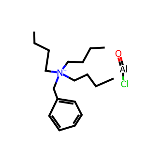 CCCC[N+](CCCC)(CCCC)Cc1ccccc1.[O]=[Al][Cl]